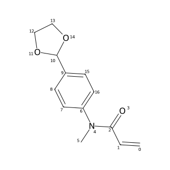 C=CC(=O)N(C)c1ccc(C2OCCO2)cc1